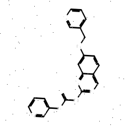 O=C(Nc1cccnc1)Nc1ncc2ccc(NCc3cccnc3)cc2n1